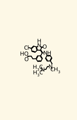 CN(C)CCN(C)Cc1ccc(N/C(=C2\C(=O)Nc3cc(Cl)ccc32)c2cccc(CCC(=O)O)c2)cc1